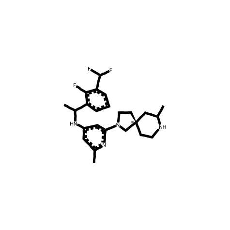 Cc1cc(NC(C)c2cccc(C(F)F)c2F)cc(N2CC[C@@]3(CCNC(C)C3)C2)n1